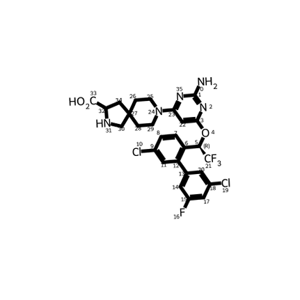 Nc1nc(O[C@H](c2ccc(Cl)cc2-c2cc(F)cc(Cl)c2)C(F)(F)F)cc(N2CCC3(CC2)CNC(C(=O)O)C3)n1